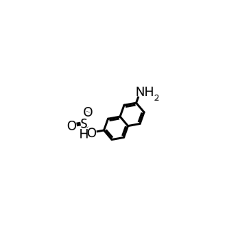 Nc1ccc2ccc(O[SH](=O)=O)cc2c1